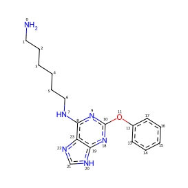 NCCCCCCNc1nc(Oc2ccccc2)nc2[nH]cnc12